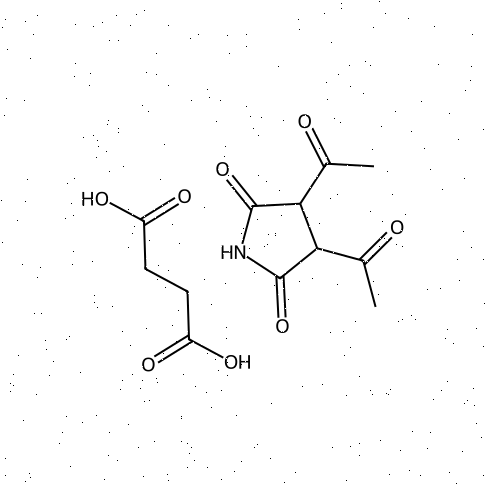 CC(=O)C1C(=O)NC(=O)C1C(C)=O.O=C(O)CCC(=O)O